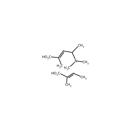 CC(=CC(C)N(C)C)C(=O)O.CC=C(C)C(=O)O